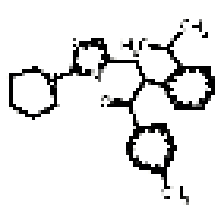 Cc1ccc(C(=O)C(Cc2csc(N3CCCCC3)n2)c2ccccc2C(C)C)cc1